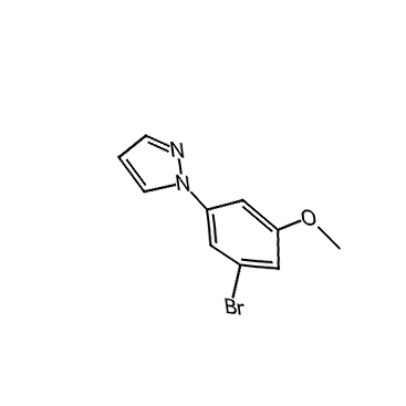 COc1cc(Br)cc(-n2cccn2)c1